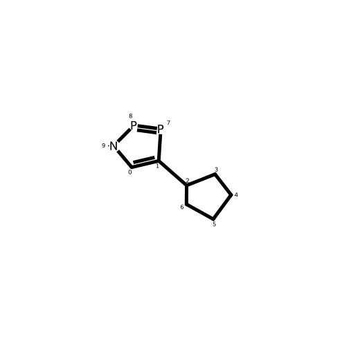 C1=C(C2CCCC2)P=P[N]1